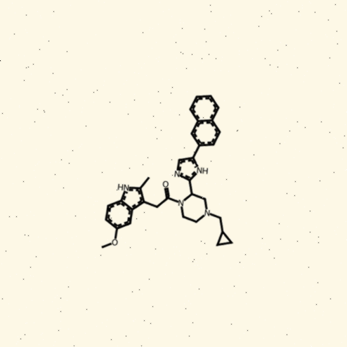 COc1ccc2[nH]c(C)c(CC(=O)N3CCN(CC4CC4)CC3c3ncc(-c4ccc5ccccc5c4)[nH]3)c2c1